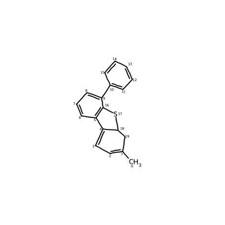 CC1=CC=C2c3cccc(-c4ccccc4)c3SC2C1